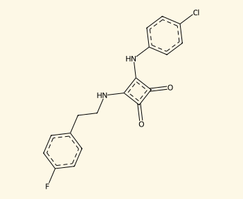 O=c1c(NCCc2ccc(F)cc2)c(Nc2ccc(Cl)cc2)c1=O